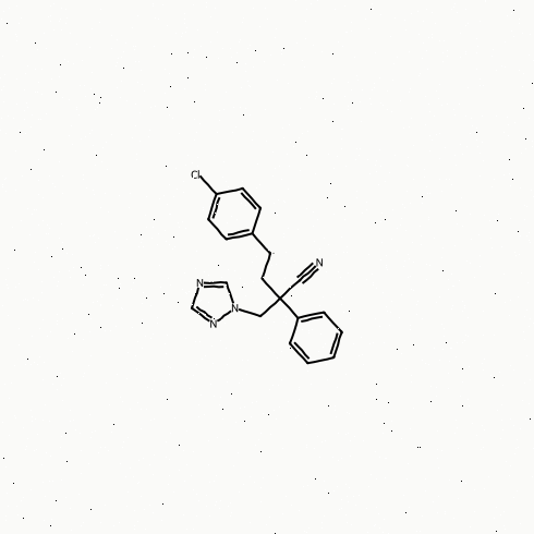 N#CC(C[CH]c1ccc(Cl)cc1)(Cn1cncn1)c1ccccc1